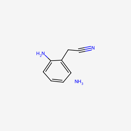 N.N#CCc1ccccc1N